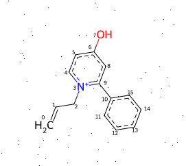 C=CC[n+]1ccc(O)cc1-c1ccccc1